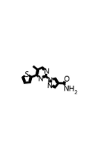 Cc1cnc(-n2cc(C(N)=O)cn2)nc1-c1cccs1